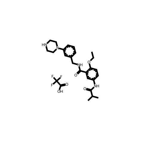 CCOc1ccc(NC(=O)C(C)C)cc1C(=O)NCc1cccc(N2CCNCC2)c1.O=C(O)C(F)(F)F